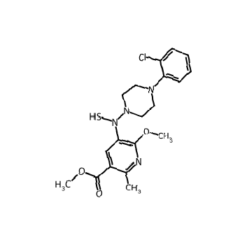 COC(=O)c1cc(N(S)N2CCN(c3ccccc3Cl)CC2)c(OC)nc1C